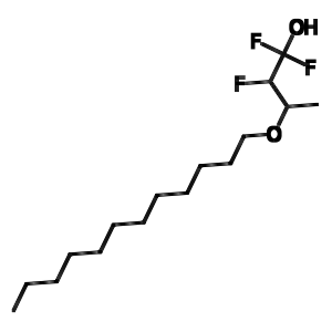 CCCCCCCCCCCCOC(C)C(F)C(O)(F)F